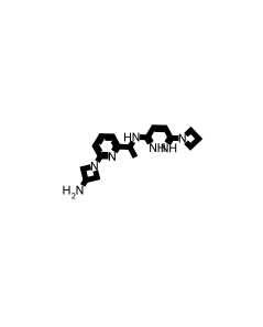 CC(NC(=N)/C=C\C(=N)N1CCC1)c1cccc(N2CC(N)C2)n1